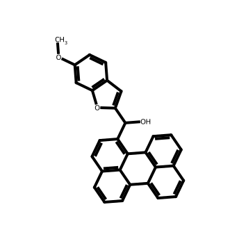 COc1ccc2cc(C(O)c3ccc4cccc5c6cccc7cccc(c3c45)c76)oc2c1